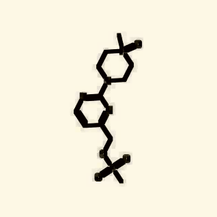 CP1(=O)CCN(c2nccc(COS(C)(=O)=O)n2)CC1